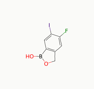 OB1OCc2cc(F)c(I)cc21